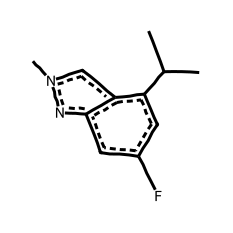 CC(C)c1cc(F)cc2nn(C)cc12